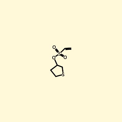 C=CS(=O)(=O)OC1CCSC1